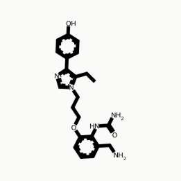 CCc1c(-c2ccc(O)cc2)ncn1CCCOc1cccc(CN)c1NC(N)=O